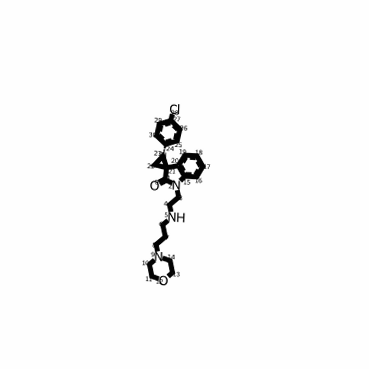 O=C1N(CCNCCCN2CCOCC2)c2ccccc2C12C[C@@H]2c1ccc(Cl)cc1